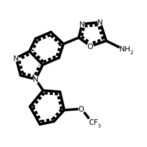 Nc1nnc(-c2ccc3ncn(-c4cccc(OC(F)(F)F)c4)c3c2)o1